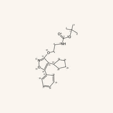 CC(C)(C)OC(=O)NCCOc1noc(-c2ccccc2)c1C1CCCC1